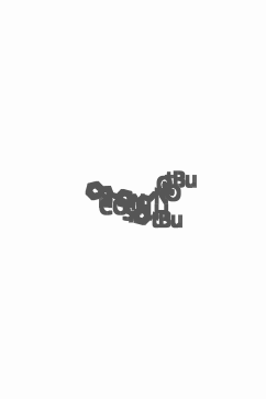 CC(C)(C)OC(=O)NCCCN1c2ccc(-c3cc4ccccc4n3C(=O)O)cc2Sc2ccc(C(C)(C)C)cc21